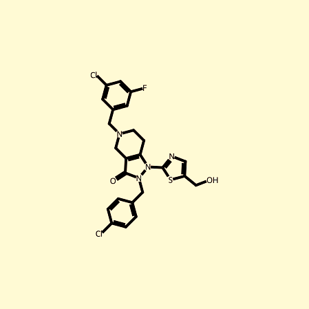 O=c1c2c(n(-c3ncc(CO)s3)n1Cc1ccc(Cl)cc1)CCN(Cc1cc(F)cc(Cl)c1)C2